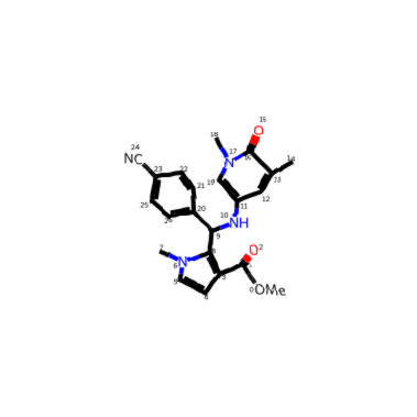 COC(=O)c1ccn(C)c1C(Nc1cc(C)c(=O)n(C)c1)c1ccc(C#N)cc1